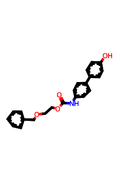 O=C(Nc1ccc(-c2ccc(O)cc2)cc1)OCCOCc1ccccc1